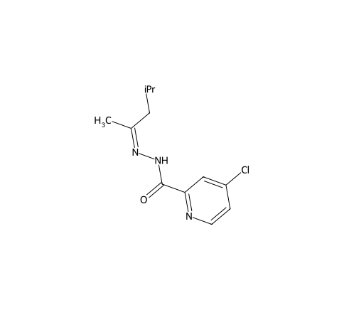 CC(CC(C)C)=NNC(=O)c1cc(Cl)ccn1